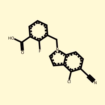 N#Cc1ccc2c(ccn2Cc2cccc(C(=O)O)c2F)c1Cl